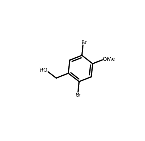 COc1cc(Br)c(CO)cc1Br